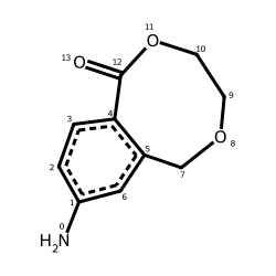 Nc1ccc2c(c1)COCCOC2=O